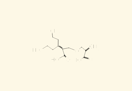 C=C(COCC(C(=O)O)=C(CCC)CCC)C(=O)O